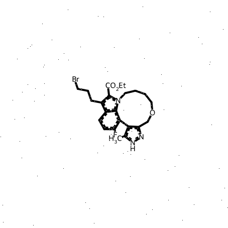 CCOC(=O)c1c(CCCBr)c2ccc(F)c3c2n1CCCCOCc1n[nH]c(C)c1-3